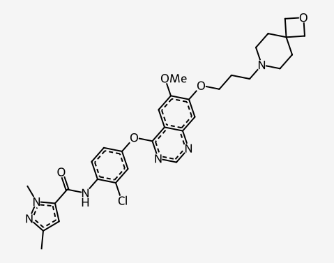 COc1cc2c(Oc3ccc(NC(=O)c4cc(C)nn4C)c(Cl)c3)ncnc2cc1OCCCN1CCC2(CC1)COC2